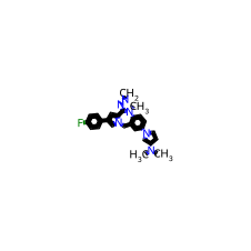 C=N/N=C1/c2cc(-c3ccc(F)cc3)cn2Cc2cc(N3CC[C@H](N(C)C)C3)ccc2N1C